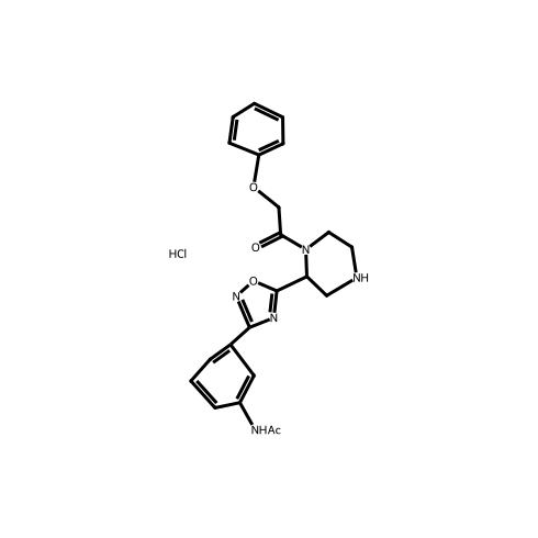 CC(=O)Nc1cccc(-c2noc(C3CNCCN3C(=O)COc3ccccc3)n2)c1.Cl